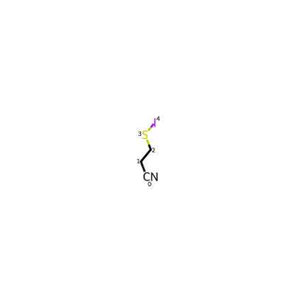 N#CCCSI